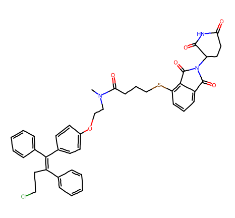 CN(CCOc1ccc(C(=C(CCCl)c2ccccc2)c2ccccc2)cc1)C(=O)CCCSc1cccc2c1C(=O)N(C1CCC(=O)NC1=O)C2=O